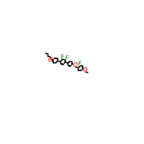 CCCCOc1ccc(-c2ccc(-c3ccc(OCc4ccc(OCC)cc4F)cc3)c(F)c2F)cc1